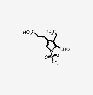 O=Cc1c(CC(=O)O)c(CCC(=O)O)cn1S(=O)(=O)C(F)(F)F